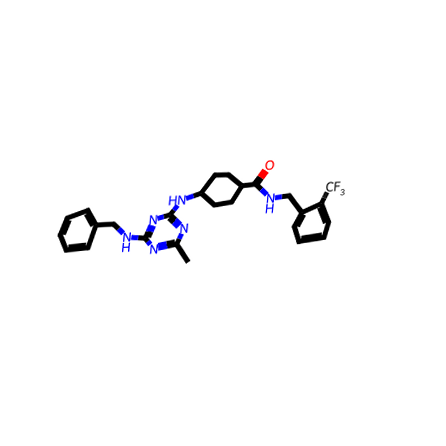 Cc1nc(NCc2ccccc2)nc(NC2CCC(C(=O)NCc3ccccc3C(F)(F)F)CC2)n1